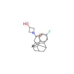 CC(=O)C1C2CC3CC1CC(C2)C3(CC(=O)N1CC(O)C1)c1ccc(F)cc1